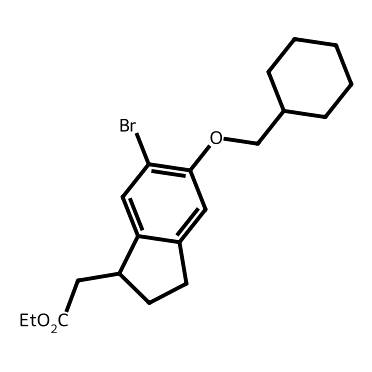 CCOC(=O)CC1CCc2cc(OCC3CCCCC3)c(Br)cc21